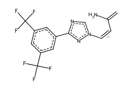 C=C(N)/C=C\n1cnc(-c2cc(C(F)(F)F)cc(C(F)(F)F)c2)n1